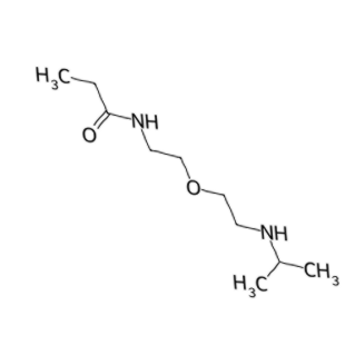 CCC(=O)NCCOCCNC(C)C